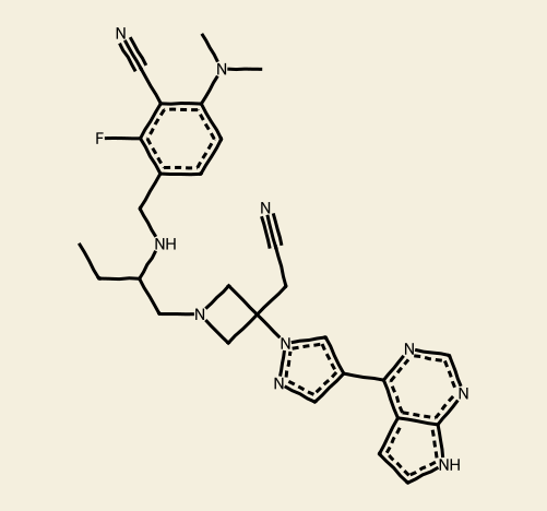 CCC(CN1CC(CC#N)(n2cc(-c3ncnc4[nH]ccc34)cn2)C1)NCc1ccc(N(C)C)c(C#N)c1F